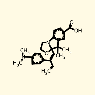 C=CC(=CC12OCCN1c1ccc(C(=O)O)cc1C2(C)C)c1ccc(N(C)C)cc1